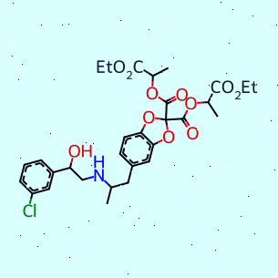 CCOC(=O)C(C)OC(=O)C1(C(=O)OC(C)C(=O)OCC)Oc2ccc(CC(C)NCC(O)c3cccc(Cl)c3)cc2O1